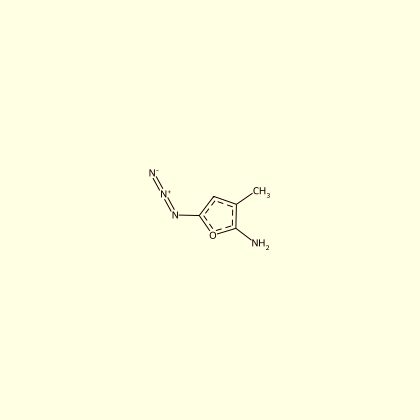 Cc1cc(N=[N+]=[N-])oc1N